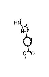 CNc1nc(-c2ccc(C(=O)OC)cc2)cs1